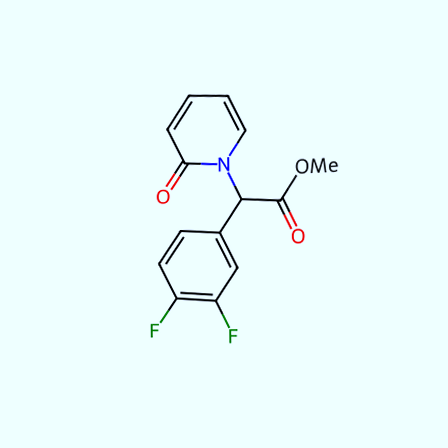 COC(=O)C(c1ccc(F)c(F)c1)n1ccccc1=O